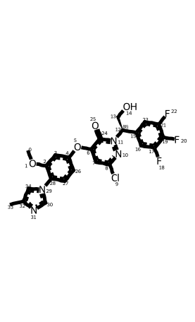 COc1cc(Oc2cc(Cl)nn([C@@H](CO)c3cc(F)c(F)c(F)c3)c2=O)ccc1-n1cnc(C)c1